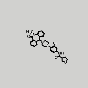 CN1C(=O)c2ccccc2C(N2CCN(c3ccc(NC(=O)C4CCOC4)cc3Cl)CC2)c2ccccc21